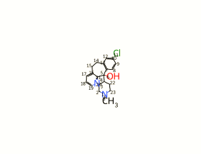 CN1CCC(C2(O)c3ccc(Cl)cc3CCc3cccnc32)CC1